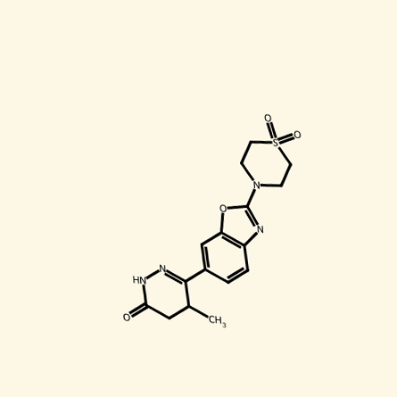 CC1CC(=O)NN=C1c1ccc2nc(N3CCS(=O)(=O)CC3)oc2c1